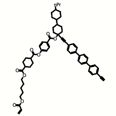 C#Cc1ccc(-c2ccc(-c3ccc(C#CC4(OC(=O)c5ccc(OC(=O)C6CCC(C(=O)OCCCCCOC(=O)C=C)CC6)cc5)CCC(C5CCC(CCC)CC5)CC4)cc3)cc2)cc1